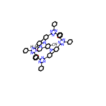 Cc1cccc(-c2cc(-n3c4cc(-c5nc(-c6ccccc6)nc(-c6ccccc6)n5)ccc4c4ccc(-c5nc(-c6ccccc6)nc(-c6ccccc6)n5)cc43)c(C#N)cc2-n2c3cc(-c4nc(-c5ccccc5)nc(-c5ccccc5)n4)ccc3c3ccc(-c4nc(-c5ccccc5)nc(-c5ccccc5)n4)cc32)n1